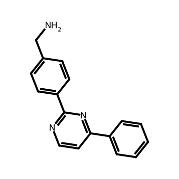 NCc1ccc(-c2nccc(-c3ccccc3)n2)cc1